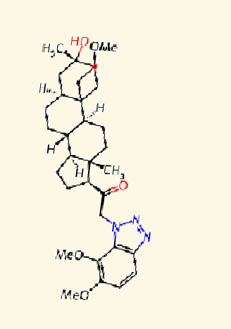 COCC[C@]12CC[C@@](C)(O)C[C@@H]1CC[C@H]1[C@@H]3CC[C@H](C(=O)Cn4nnc5ccc(OC)c(OC)c54)[C@@]3(C)CC[C@@H]12